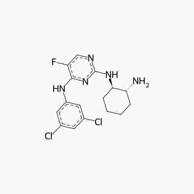 N[C@@H]1CCCC[C@H]1Nc1ncc(F)c(Nc2cc(Cl)cc(Cl)c2)n1